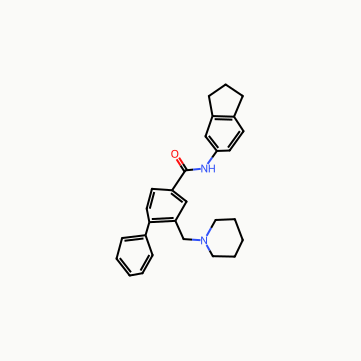 O=C(Nc1ccc2c(c1)CCC2)c1ccc(-c2ccccc2)c(CN2CCCCC2)c1